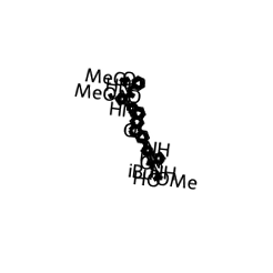 CC[C@H](C)[C@H](NC(O)OC)C(=O)N1[C@@H](C)CC[C@H]1c1ncc(-c2ccc3c(c2)COc2cc4c(ccc5cc([C@@H]6C[C@H](COC)CN6C(=O)[C@H](NC(=O)OC)c6ccccc6)[nH]c54)cc2-3)[nH]1